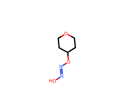 ON=NOC1CCOCC1